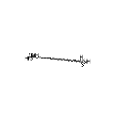 O=P(O)(O)CCCCCCCCCCCCCCCCCCCCCCCCCCCNC(=S)S